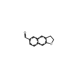 O=Cc1ccc2cc3c(cc2c1)CCO3